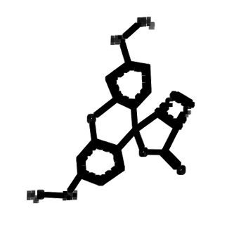 BNc1ccc2c(c1)Oc1cc(NB)ccc1C21OC(=O)c2ccccc21